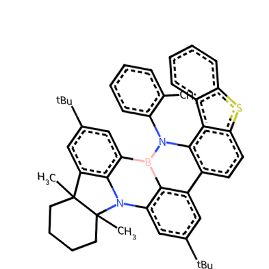 Cc1ccccc1N1B2c3cc(C(C)(C)C)cc4c3N(c3cc(C(C)(C)C)cc(c32)-c2ccc3sc5ccccc5c3c21)C1(C)CCCCC41C